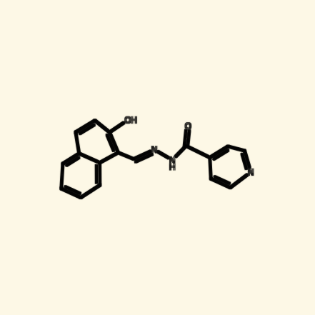 O=C(N/N=C/c1c(O)ccc2ccccc12)c1ccncc1